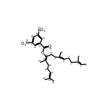 C/C=C(\C)CC/C=C(\C)CC/C(OC(=O)c1cc([N+](=O)[O-])cc([N+](=O)[O-])c1)=C(/C)CCC=C(C)C